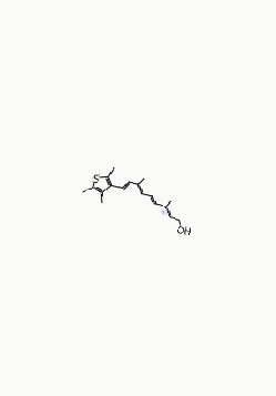 CC(C=Cc1c(C)sc(C)c1C)=CC=C/C(C)=C/CO